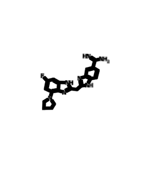 N=C(N)c1ccc2[nH]c(Cc3nc4c(N5CCCC5)cc(F)cc4[nH]3)nc2c1